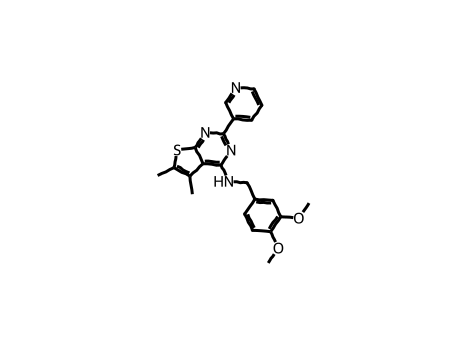 COc1ccc(CNc2nc(-c3cccnc3)nc3sc(C)c(C)c23)cc1OC